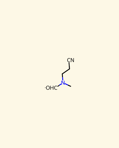 CN([C]=O)CCC#N